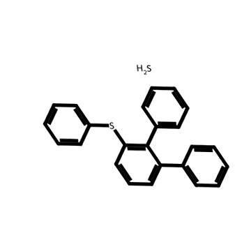 S.c1ccc(Sc2cccc(-c3ccccc3)c2-c2ccccc2)cc1